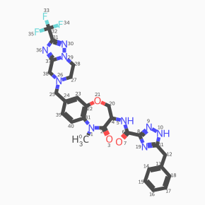 CN1C(=O)C(NC(=O)c2n[nH]c(Cc3ccccc3)n2)COc2cc(CN3CCn4nc(C(F)(F)F)nc4C3)ccc21